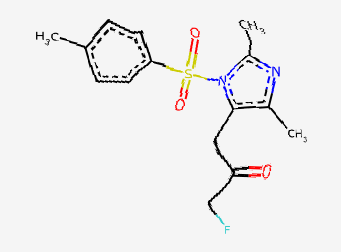 Cc1ccc(S(=O)(=O)n2c(C)nc(C)c2CC(=O)CF)cc1